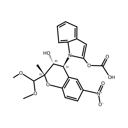 COC(OC)[C@@]1(C)Oc2ccc([N+](=O)[O-])cc2[C@H](n2c(OC(=O)O)cc3ccccc32)[C@H]1O